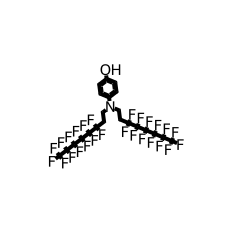 Oc1ccc(N(CCC(F)(F)C(F)(F)C(F)(F)C(F)(F)C(F)(F)C(F)(F)F)CCC(F)(F)C(F)(F)C(F)(F)C(F)(F)C(F)(F)C(F)(F)F)cc1